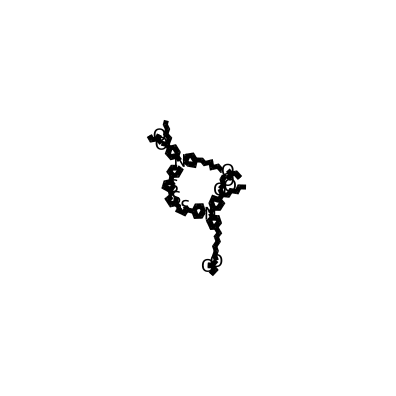 C=CC(=O)OCCCCCCc1ccc(N(c2ccc(-c3ccc(-c4ccc(-c5ccc(-c6ccc(N(c7ccc(CCCCCCOC(=O)C=C)cc7)c7ccc(C(CCCCC)OC(=O)C=C)cc7)cc6)s5)s4)s3)cc2)c2ccc(C(CCCCC)OC(=O)C=C)cc2)cc1